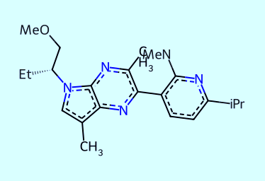 CC[C@H](COC)n1cc(C)c2nc(-c3ccc(C(C)C)nc3NC)c(C)nc21